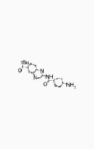 CC(C)(C)C(=O)c1ccc2nc(NC(=O)c3ccc(N)cc3)cnc2c1